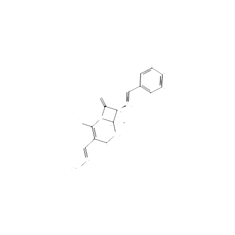 CO/N=C/C1=C(C(=O)O)N2C(=O)[C@@H](/N=C/c3ccccc3)[C@H]2SC1